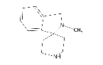 CN1Cc2ccccc2C12CCNCC2